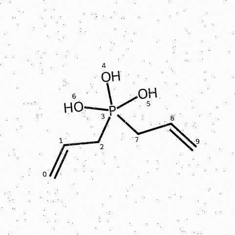 C=CCP(O)(O)(O)CC=C